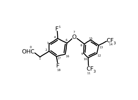 O=CCc1cc(F)c(Oc2cc(C(F)(F)F)cc(C(F)(F)F)c2)cc1F